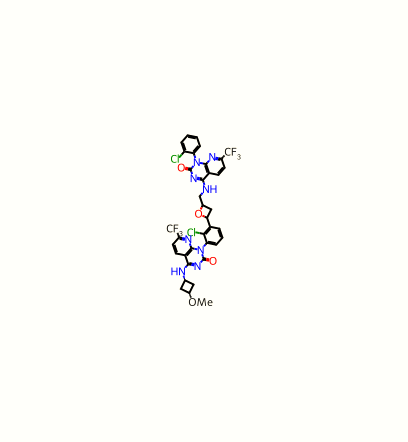 CO[C@H]1C[C@@H](Nc2nc(=O)n(-c3cccc(C4CC(CNc5nc(=O)n(-c6ccccc6Cl)c6nc(C(F)(F)F)ccc56)O4)c3Cl)c3nc(C(F)(F)F)ccc23)C1